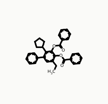 CCc1cc(-c2ccccc2)c(C2CCCC2)c(OC(=O)c2ccccc2)c1OC(=O)c1ccccc1